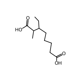 CCC(CCCCC(=O)O)C(C)C(=O)O